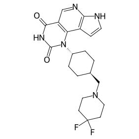 O=c1[nH]c(=O)n([C@H]2CC[C@H](CN3CCC(F)(F)CC3)CC2)c2c1cnc1[nH]ccc12